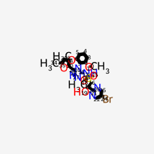 COc1cccc(OC)c1-n1c(NS(=O)(=O)C[C@@](C)(O)c2ncc(Br)cn2)nnc1-c1ccc(C)o1